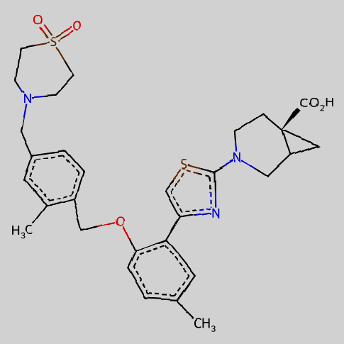 Cc1ccc(OCc2ccc(CN3CCS(=O)(=O)CC3)cc2C)c(-c2csc(N3CC[C@]4(C(=O)O)CC4C3)n2)c1